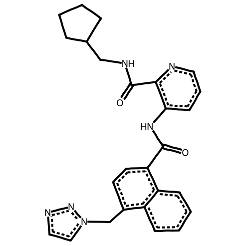 O=C(NCC1CCCC1)c1ncccc1NC(=O)c1ccc(Cn2ccnn2)c2ccccc12